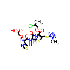 C=C(Cl)COC(=O)C1=C(CSc2nnnn2C)CS[C@@H]2C(NC(=O)/C(=N\OCC(=O)O)c3cscn3)C(=O)N12